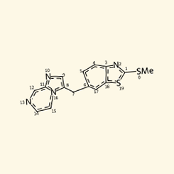 CSc1nc2ccc(Cc3cnc4cnccn34)cc2s1